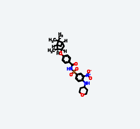 C[C@H]1[C@H]2C[C@H](C[C@H]1Oc1ccc(C(=O)NS(=O)(=O)c3ccc(NC4CCOCC4)c([N+](=O)[O-])c3)cc1)C2(C)C